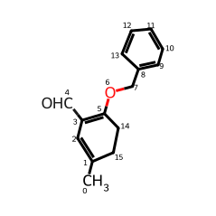 CC1=CC(C=O)=C(OCc2ccccc2)CC1